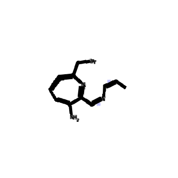 C/C=C\N=C/C1=NC(CC(C)C)=C=CC=C1N